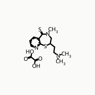 CN(C)CCC1CN(C)C(=S)c2cccnc2S1.O=C(O)C(=O)O